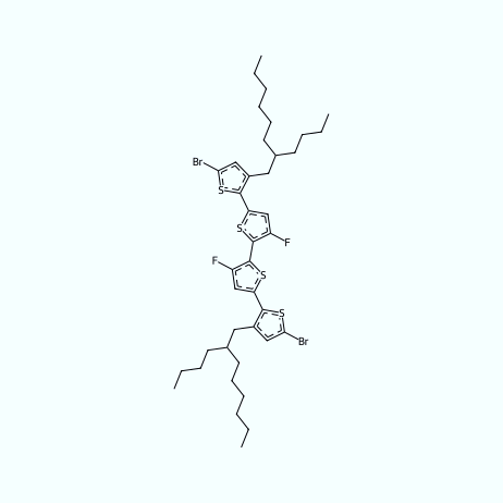 CCCCCCC(CCCC)Cc1cc(Br)sc1-c1cc(F)c(-c2sc(-c3sc(Br)cc3CC(CCCC)CCCCCC)cc2F)s1